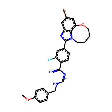 COc1ccc(CN/C=N\C(=N)c2ccc(-c3nc4cc(Br)cc5c4n3CCCCO5)cc2F)cc1